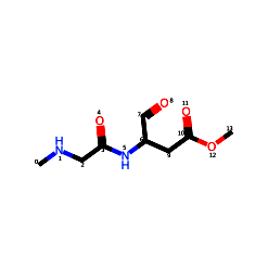 CNCC(=O)NC(C=O)CC(=O)OC